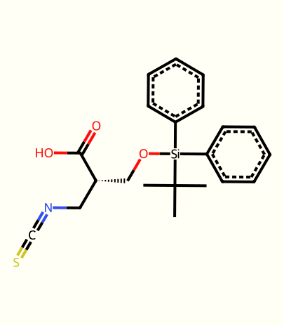 CC(C)(C)[Si](OC[C@H](CN=C=S)C(=O)O)(c1ccccc1)c1ccccc1